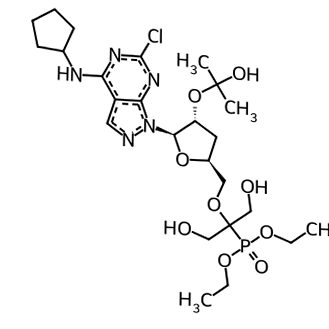 CCOP(=O)(OCC)C(CO)(CO)OC[C@@H]1C[C@@H](OC(C)(C)O)[C@H](n2ncc3c(NC4CCCC4)nc(Cl)nc32)O1